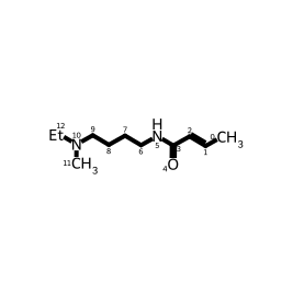 C/C=C/C(=O)NCCCCN(C)CC